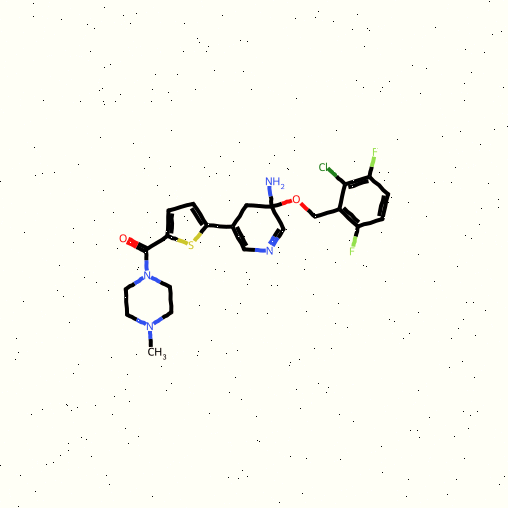 CN1CCN(C(=O)c2ccc(C3=CN=CC(N)(OCc4c(F)ccc(F)c4Cl)C3)s2)CC1